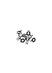 Cc1csc(CN(C(=O)c2cccc(C(=O)N[C@@H](Cc3ccccc3)[C@H](O)CN(C)c3cncc(C(C)C)c3)c2)C2CC2)n1